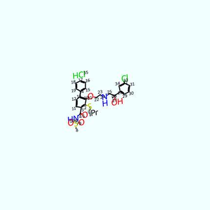 CC(C)Sc1c(C(=O)NS(C)(=O)=O)ccc(-c2ccccc2)c1OCCNC[C@H](O)c1cccc(Cl)c1.Cl